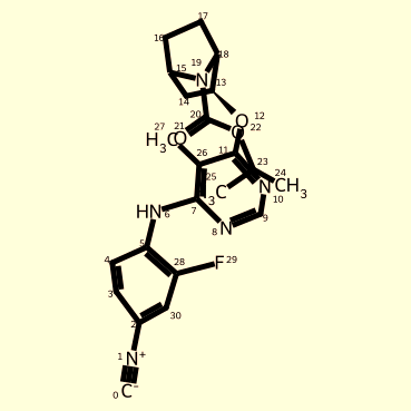 [C-]#[N+]c1ccc(Nc2ncnc(O[C@H]3CC4CCC3N4C(=O)OC(C)C)c2C)c(F)c1